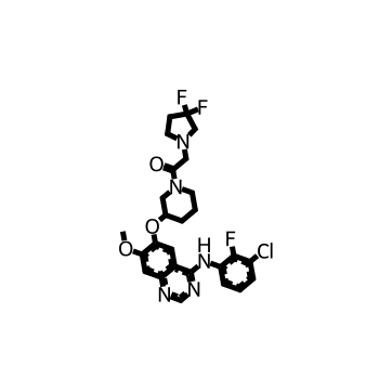 COc1cc2ncnc(Nc3cccc(Cl)c3F)c2cc1OC1CCCN(C(=O)CN2CCC(F)(F)C2)C1